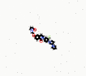 O=C1CCCN1CCOc1ccc2c(=O)n(-c3ccc(N4CC[C@@H](N5CCCC5)C4)c(F)c3)ccc2c1